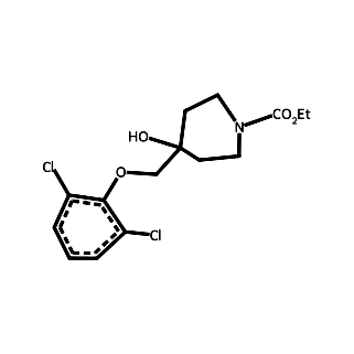 CCOC(=O)N1CCC(O)(COc2c(Cl)cccc2Cl)CC1